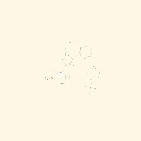 CC(C)N/C(=N\C=N)c1cn2c(n1)-c1cc(SN3CCN(C(C)(C)CO)CC3)ccc1OCC2